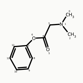 CN(C)CC(=O)Oc1ccccc1